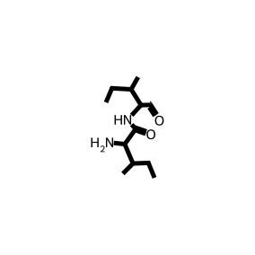 CCC(C)C([C]=O)NC(=O)C(N)C(C)CC